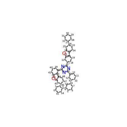 c1ccc(-c2cccc(-c3cccc(-c4nc(-c5ccc6c(c5)oc5cc(-c7ccccc7)ccc56)nc(-c5cccc6oc7ccccc7c56)n4)c3)c2)cc1